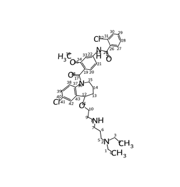 CCN(CC)CCCNCCOC1CCCN(C(=O)c2ccc(NC(=O)c3ccccc3Cl)cc2OC)c2ccc(Cl)cc21